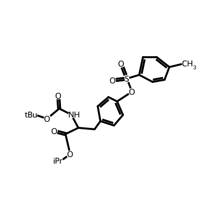 Cc1ccc(S(=O)(=O)Oc2ccc(CC(NC(=O)OC(C)(C)C)C(=O)OC(C)C)cc2)cc1